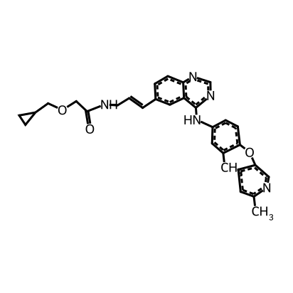 Cc1ccc(Oc2ccc(Nc3ncnc4ccc(/C=C/CNC(=O)COCC5CC5)cc34)cc2C)cn1